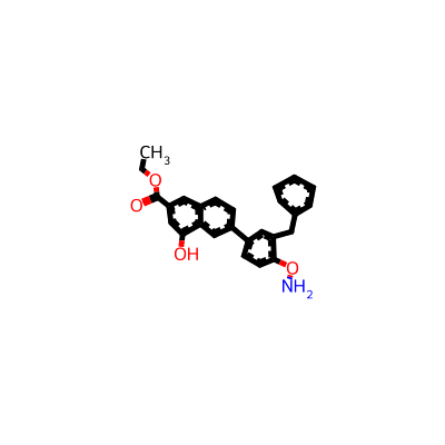 CCOC(=O)c1cc(O)c2cc(-c3ccc(ON)c(Cc4ccccc4)c3)ccc2c1